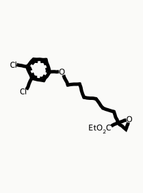 CCOC(=O)C1(CCCCCCOc2ccc(Cl)c(Cl)c2)CO1